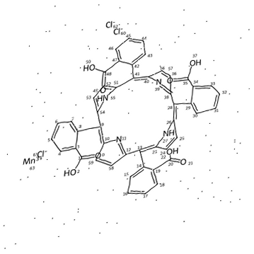 O=C(O)c1ccccc1-c1c2nc(c(-c3ccccc3C(=O)O)c3ccc([nH]3)c(-c3ccccc3C(=O)O)c3nc(c(-c4ccccc4C(=O)O)c4ccc1[nH]4)C=C3)C=C2.[Cl-].[Cl-].[Cl-].[Mn+3]